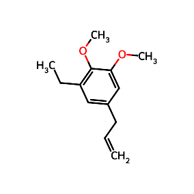 C=CCc1cc(CC)c(OC)c(OC)c1